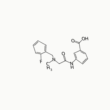 CN(CC(=O)Nc1cccc(C(=O)O)c1)Cc1ccccc1F